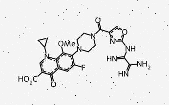 COc1c(N2CCN(C(=O)c3coc(NC(=N)C(=N)N)n3)CC2)c(F)cc2c(=O)c(C(=O)O)cn(C3CC3)c12